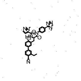 CCc1cc(-c2ccc(Cl)c(CC(NC(=O)c3ccnn3C)C(=O)Nc3ccc(-c4nncn4C)cc3)c2)ccc1C#N